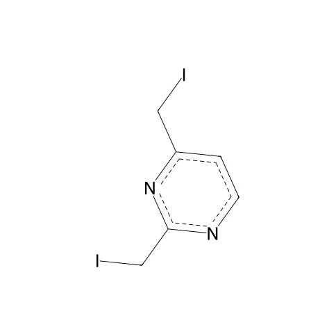 ICc1ccnc(CI)n1